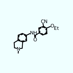 CCOc1ccc(C(=O)Nc2ccc3c(c2)CN(C)CC3)cc1C#N